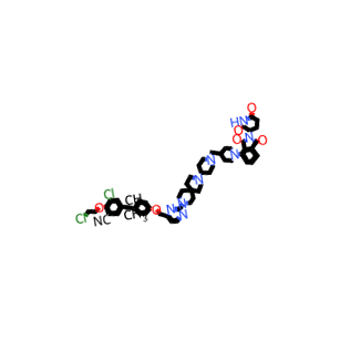 CC(C)(c1ccc(OCc2ccnc(N3CCC4(CC3)CCN(C3CCN(CC5CCN(c6cccc7c6C(=O)N(C6CCC(=O)NC6=O)C7=O)CC5)CC3)CC4)n2)cc1)c1cc(Cl)c(OCCCl)c(C#N)c1